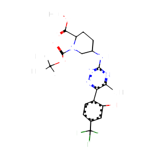 COC(=O)C1CCC(Nc2nnc(-c3ccc(C(F)(F)F)cc3O)c(C)n2)CN1C(=O)OC(C)(C)C